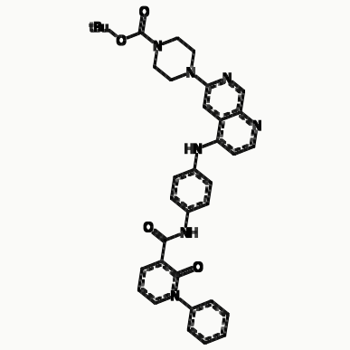 CC(C)(C)OC(=O)N1CCN(c2cc3c(Nc4ccc(NC(=O)c5cccn(-c6ccccc6)c5=O)cc4)ccnc3cn2)CC1